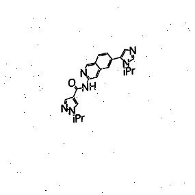 CC(C)n1cc(C(=O)Nc2cc3cc(-c4cncn4C(C)C)ccc3cn2)cn1